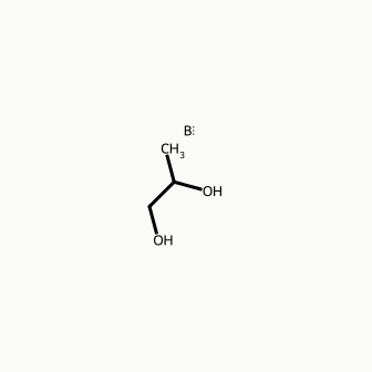 CC(O)CO.[B]